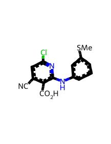 CSc1cccc(Nc2nc(Cl)cc(C#N)c2C(=O)O)c1